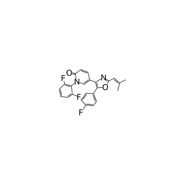 CC(C)=Cc1nc(-c2ccc(=O)n(-c3c(F)cccc3F)c2)c(-c2ccc(F)cc2)o1